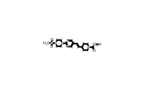 CC(C)OC(=O)N1CCC(C=Cc2cnc(N3CCN(S(C)(=O)=O)CC3)nc2)CC1